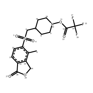 Cc1c(S(=O)(=O)CC2CCN(OC(=O)C(F)(F)F)CC2)ccc2c1COC2=O